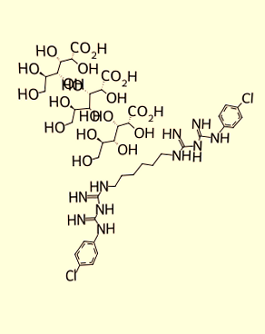 N=C(NCCCCCCNC(=N)NC(=N)Nc1ccc(Cl)cc1)NC(=N)Nc1ccc(Cl)cc1.O=C(O)[C@H](O)[C@@H](O)[C@H](O)[C@H](O)CO.O=C(O)[C@H](O)[C@@H](O)[C@H](O)[C@H](O)CO.O=C(O)[C@H](O)[C@@H](O)[C@H](O)[C@H](O)CO